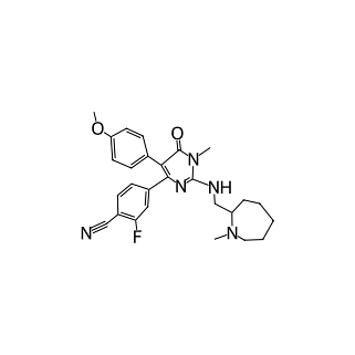 COc1ccc(-c2c(-c3ccc(C#N)c(F)c3)nc(NCC3CCCCCN3C)n(C)c2=O)cc1